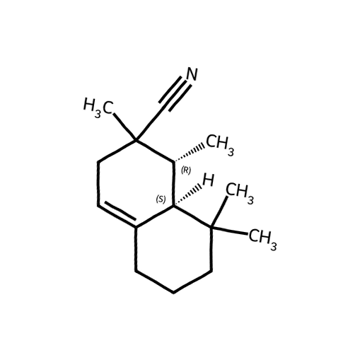 C[C@@H]1[C@@H]2C(=CCC1(C)C#N)CCCC2(C)C